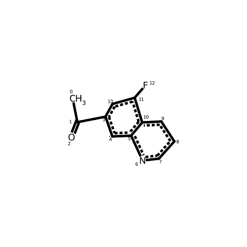 CC(=O)c1[c]c2ncccc2c(F)c1